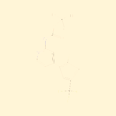 CC(C)(C)OC(=O)Nc1cc(-c2cc(C(F)(F)F)ccc2F)ccn1